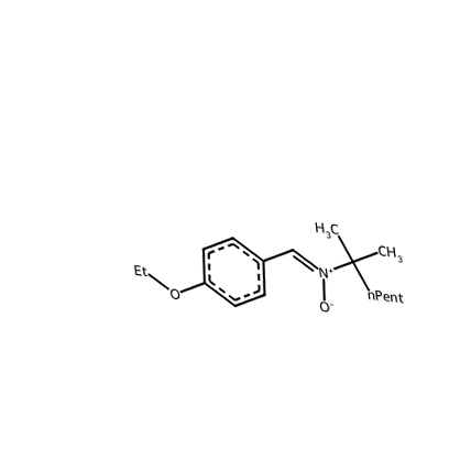 CCCCCC(C)(C)[N+]([O-])=Cc1ccc(OCC)cc1